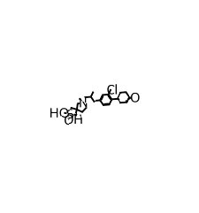 CC(Cc1ccc(C2CCC(=O)CC2)c(Cl)c1)CN1CCC2(C1)CS(O)(O)C2